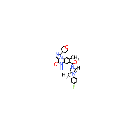 Cc1cc2c(cc1C(=O)N1C[C@]3(C)C[C@H]1CN3c1ccc(F)cc1)[nH]c(=O)c1cnc(C3CCOCC3)n12